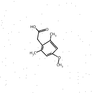 COc1cc(C)c(CC(=O)O)c(C)c1